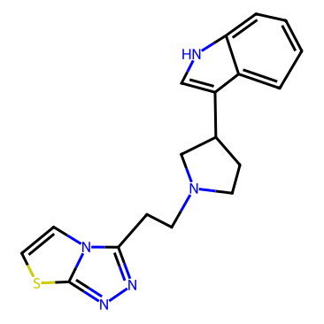 c1ccc2c(C3CCN(CCc4nnc5sccn45)C3)c[nH]c2c1